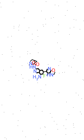 Cc1c(-c2cc3cc(NC(=O)OC45CCN(C)CC4C5)ncc3c(N)c2F)cnc2c1NCCO2